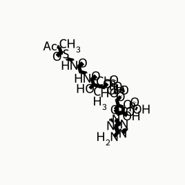 CC(=O)C(C)C(=O)SCCNC(=O)CCNC(=O)C(O)C(C)(C)COP(=O)(O)OP(=O)(O)OCC1OC(n2cnc3c(N)ncnc32)C(O)C1OP(=O)(O)O